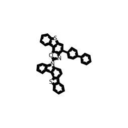 c1ccc(-c2ccc(-c3cc4sc5ccccc5c4c4oc(-n5c6ccccc6c6c7sc8ccccc8c7ccc65)nc34)cc2)cc1